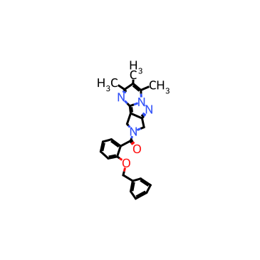 Cc1nc2c3c(nn2c(C)c1C)CN(C(=O)c1ccccc1OCc1ccccc1)C3